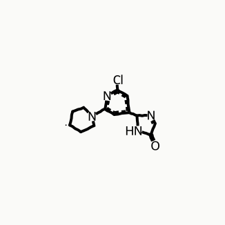 O=C1C=NC(c2cc(Cl)nc(N3CC[CH]CC3)c2)N1